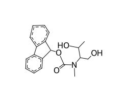 CC(O)C(CO)N(C)C(=O)OC1c2ccccc2-c2ccccc21